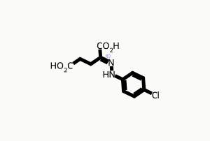 O=C(O)CC/C(=N\Nc1ccc(Cl)cc1)C(=O)O